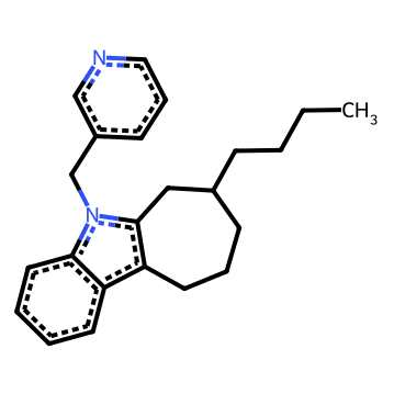 CCCCC1CCCc2c(n(Cc3cccnc3)c3ccccc23)C1